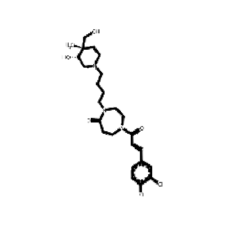 C[C@@]1(CO)CCN(CCCCN2CCN(C(=O)/C=C/c3ccc(Cl)c(Cl)c3)CCC2=O)C[C@@H]1O